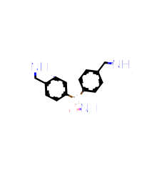 NCc1ccc(S2(c3ccc(CN)cc3)NO2)cc1